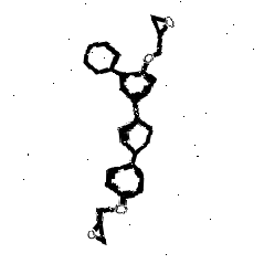 C1=CC(c2ccc(OCC3CO3)c(C3CCCCC3)c2)CCC1c1ccc(OCC2CO2)cc1